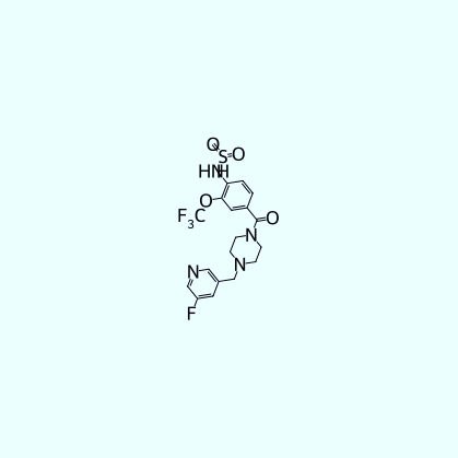 O=C(c1ccc(N[SH](=O)=O)c(OC(F)(F)F)c1)N1CCN(Cc2cncc(F)c2)CC1